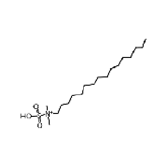 CCCCCCCCCCCCCCCC[N+](C)(C)S(=O)(=O)O